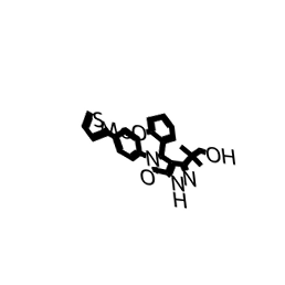 COc1ccccc1C1c2c(C(C)(C)CO)n[nH]c2C(=O)N1c1ccc(-c2cccs2)cc1